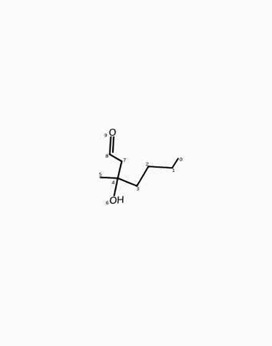 CCCCC(C)(O)CC=O